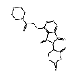 O=C1CCC(N2C(=O)c3cccc(SCC(=O)N4CCNCC4)c3C2=O)C(=O)N1